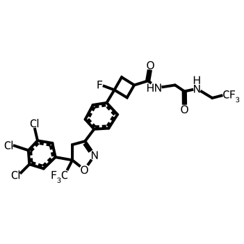 O=C(CNC(=O)C1CC(F)(c2ccc(C3=NOC(c4cc(Cl)c(Cl)c(Cl)c4)(C(F)(F)F)C3)cc2)C1)NCC(F)(F)F